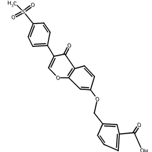 CS(=O)(=O)c1ccc(-c2coc3cc(OCc4cccc(C(=O)O)c4)ccc3c2=O)cc1